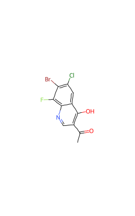 CC(=O)c1cnc2c(F)c(Br)c(Cl)cc2c1O